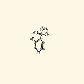 NS(=O)(=O)c1ccncc1F